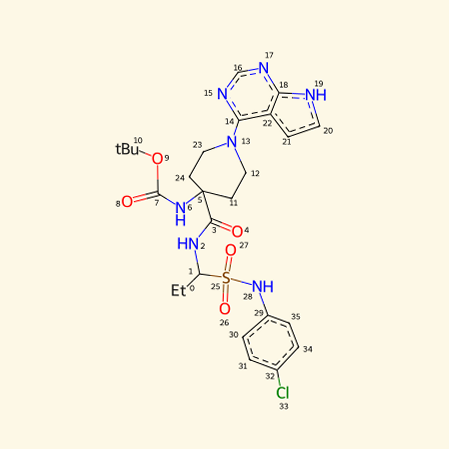 CCC(NC(=O)C1(NC(=O)OC(C)(C)C)CCN(c2ncnc3[nH]ccc23)CC1)S(=O)(=O)Nc1ccc(Cl)cc1